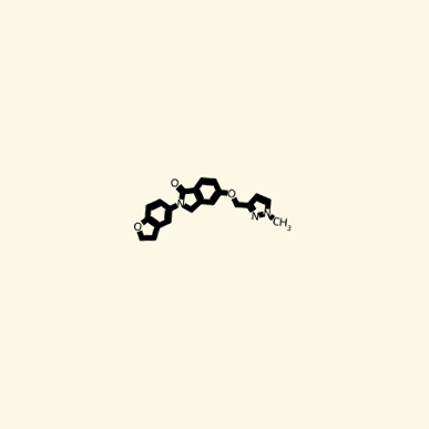 Cn1ccc(COc2ccc3c(c2)CN(c2ccc4c(c2)CCO4)C3=O)n1